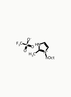 CCCCCCCC[n+]1cc[nH]c1C.O=S(=O)([O-])C(F)(F)F